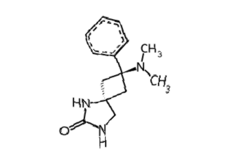 CN(C)[C@]1(c2ccccc2)C[C@@]2(CNC(=O)N2)C1